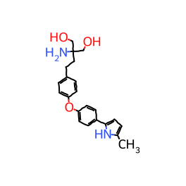 Cc1ccc(-c2ccc(Oc3ccc(CCC(N)(CO)CO)cc3)cc2)[nH]1